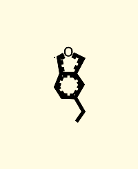 CCc1ccc2[c]occ2c1